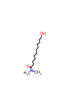 CN(C)C(=O)CCCCCCCCCCCO